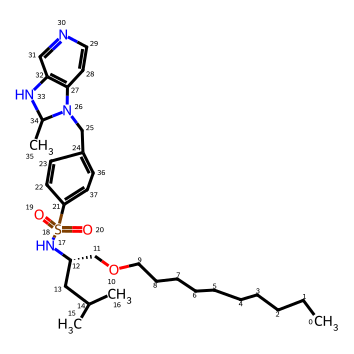 CCCCCCCCCCOC[C@H](CC(C)C)NS(=O)(=O)c1ccc(CN2c3ccncc3NC2C)cc1